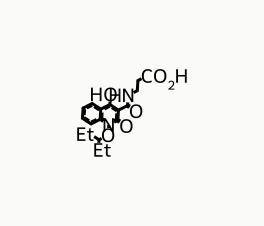 CCC(CC)On1c(=O)c(C(=O)NCCC(=O)O)c(O)c2ccccc21